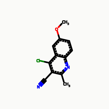 COc1ccc2nc(C)c(C#N)c(Cl)c2c1